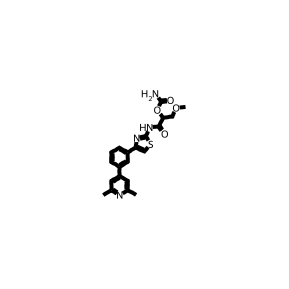 COCC(OC(N)=O)C(=O)Nc1nc(-c2cccc(-c3cc(C)nc(C)c3)c2)cs1